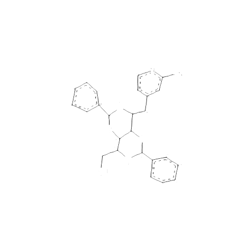 N#Cc1cc(CC2OC(c3ccccc3)OC3C(CO)OC(c4ccccc4)OC23)ccn1